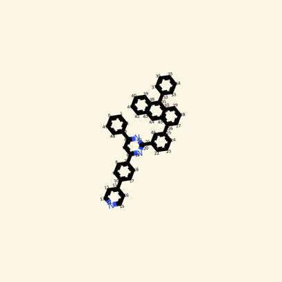 c1ccc(-c2cc(-c3ccc(-c4ccncc4)cc3)nc(-c3cccc(-c4cccc5c(-c6ccccc6)c6ccccc6cc45)c3)n2)cc1